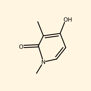 Cc1c(O)ccn(C)c1=O